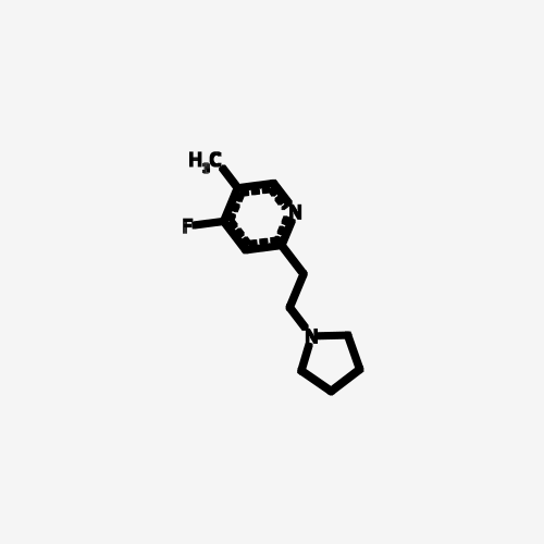 Cc1cnc(CCN2CCCC2)cc1F